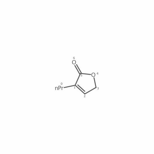 CCCC1=CCOC1=O